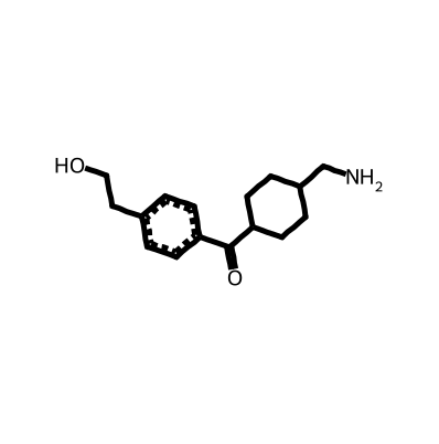 NCC1CCC(C(=O)c2ccc(CCO)cc2)CC1